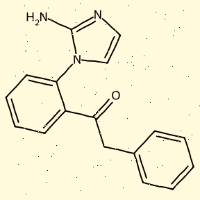 Nc1nccn1-c1ccccc1C(=O)Cc1ccccc1